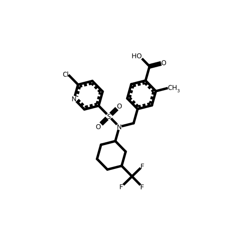 Cc1cc(CN(C2CCCC(C(F)(F)F)C2)S(=O)(=O)c2ccc(Cl)nc2)ccc1C(=O)O